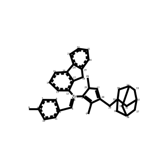 CC1=[C](/[Zr](=[CH]/c2ccc(C)cc2)[c]2cccc3c2Cc2ccccc2-3)C(C)C=C1CC12CC3CC(CC(C3)C1)C2